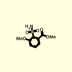 COC(=O)c1cccc(OC)c1S(N)(=O)=O